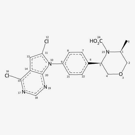 C[C@H]1COC[C@@H](c2ccc(-n3c(Cl)cc4c(Cl)ncnc43)cc2)N1C(=O)O